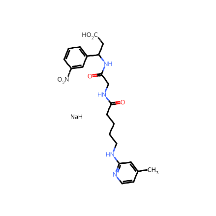 Cc1ccnc(NCCCCC(=O)NCC(=O)NC(CC(=O)O)c2cccc([N+](=O)[O-])c2)c1.[NaH]